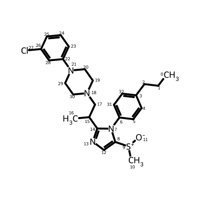 CCCc1ccc(-n2c([S+](C)[O-])cnc2C(C)CN2CCN(c3cccc(Cl)c3)CC2)cc1